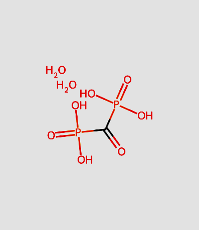 O.O.O=C(P(=O)(O)O)P(=O)(O)O